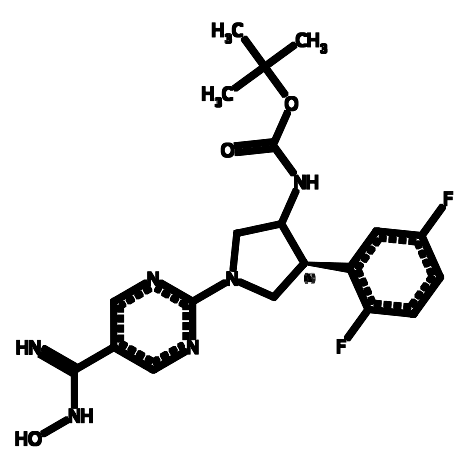 CC(C)(C)OC(=O)NC1CN(c2ncc(C(=N)NO)cn2)C[C@@H]1c1cc(F)ccc1F